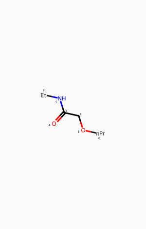 [CH2]CCOCC(=O)NCC